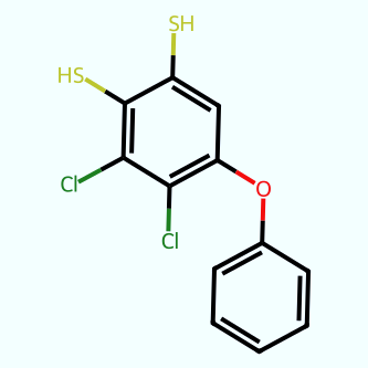 Sc1cc(Oc2ccccc2)c(Cl)c(Cl)c1S